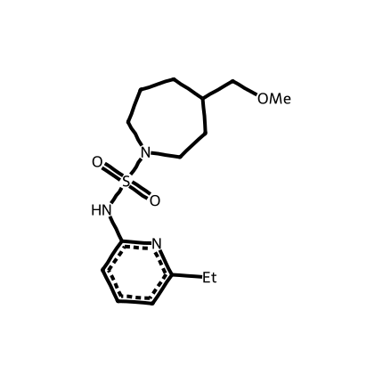 CCc1cccc(NS(=O)(=O)N2CCCC(COC)CC2)n1